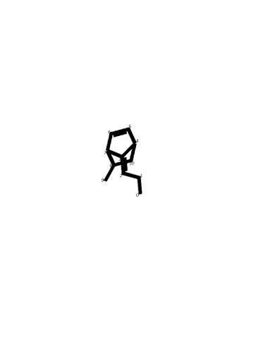 CCC=C1C2C=CC1C(C)C2